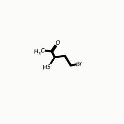 CC(=O)C(S)CCBr